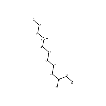 CCCNCCCCCC(C)CC